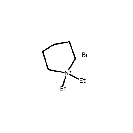 CC[N+]1(CC)CCCCC1.[Br-]